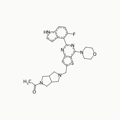 CC(=O)N1CC2CN(Cc3cc4nc(-c5c(F)ccc6[nH]ccc56)nc(N5CCOCC5)c4s3)CC2C1